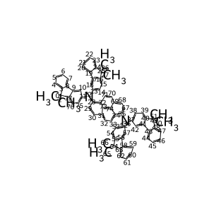 CC1(C)c2ccccc2-c2cc(N(c3ccc4c(c3)-c3ccccc3C4(C)C)c3ccc4ccc5c(N(c6ccc7c(c6)-c6ccccc6C7(C)C)c6ccc7c(c6)-c6ccccc6C7(C)C)ccc6ccc3c4c65)ccc21